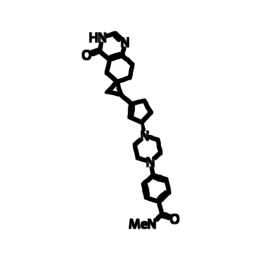 CNC(=O)c1ccc(N2CCN([C@H]3C=C(C4CC45CCc4nc[nH]c(=O)c4C5)CC3)CC2)cc1